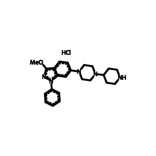 COc1nn(-c2ccccc2)c2cc(N3CCN(C4CCNCC4)CC3)ccc12.Cl